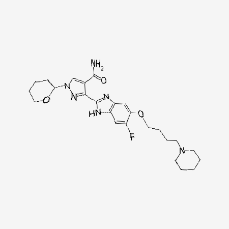 NC(=O)c1cn(C2CCCCO2)nc1-c1nc2cc(OCCCCN3CCCCC3)c(F)cc2[nH]1